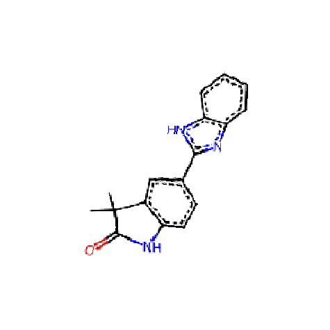 CC1(C)C(=O)Nc2ccc(-c3nc4ccccc4[nH]3)cc21